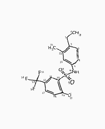 CCc1ccc(NS(=O)(=O)c2cc(C(F)(F)F)ccc2Cl)cc1C